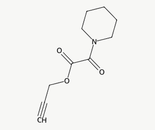 C#CCOC(=O)C(=O)N1CCCCC1